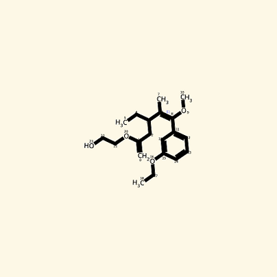 C=C(CC(CC)/C(C)=C(/OC)c1cccc(OCC)c1)OCCO